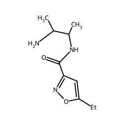 CCc1cc(C(=O)NC(C)C(C)N)no1